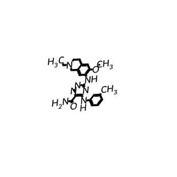 CCN1CCc2cc(OC)c(Nc3nnc(C(N)=O)c(Nc4cccc(C)c4)n3)cc2C1